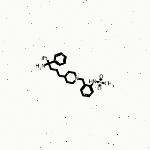 CC(C)C(N)(CCCC1CCN(Cc2ccccc2NS(C)(=O)=O)CC1)c1ccccc1